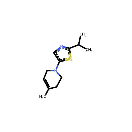 CC1=CCN(c2cnc(C(C)C)s2)CC1